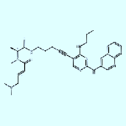 CCCNc1nc(Nc2cnc3ccccc3c2)ncc1C#CCCCNC(=O)[C@H](C)N(C)C(=O)/C=C/CN(C)C